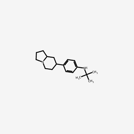 CC(C)(C)Nc1ccc(C2CCN3CCCC3C2)cc1